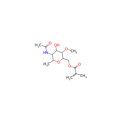 C=C(C)C(=O)OCC1OC(C)C(NC(C)=O)C(O)C1OC